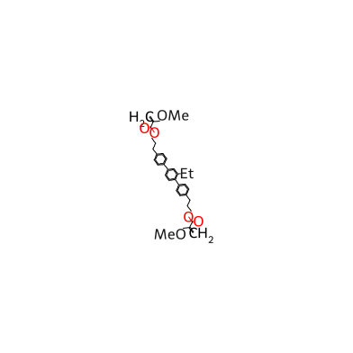 C=C(COC)C(=O)OCCCc1ccc(-c2ccc(-c3ccc(CCCOC(=O)C(=C)COC)cc3)c(CC)c2)cc1